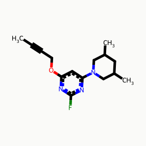 CC#CCOc1cc(N2CC(C)CC(C)C2)nc(F)n1